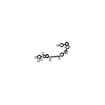 O=C1CCC(N2Cc3cc(NCCCCCC(=O)N4CCC(n5cc(-c6cnc7cccc(C8CCNCC8)c7n6)cn5)CC4)ccc3C2=O)C(=O)N1